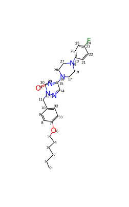 CCCCCCOc1ccc(Cn2ncc(N3CCN(c4ccc(F)cc4)CC3)nc2=O)cc1